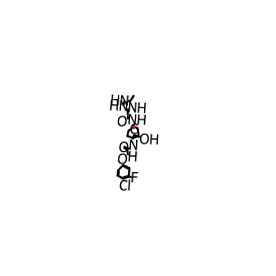 CC1NNC(C(=O)NC23CCC(NC(=O)COc4ccc(Cl)c(F)c4)(CC2)C(O)C3)N1